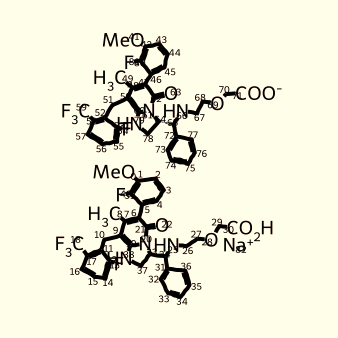 COc1cccc(-c2c(C)c(Cc3c(F)cccc3C(F)(F)F)c3n(c2=O)C(C(NCCOCC(=O)O)c2ccccc2)CN3)c1F.COc1cccc(-c2c(C)c(Cc3c(F)cccc3C(F)(F)F)c3n(c2=O)[C@H](C(NCCOCC(=O)[O-])c2ccccc2)CN3)c1F.[Na+]